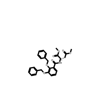 COC(=O)C[C@H](NC(=O)c1cccc(OCc2ccccc2)c1OCc1ccccc1)C(=O)OC